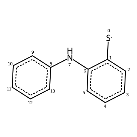 [S]c1ccccc1Nc1ccccc1